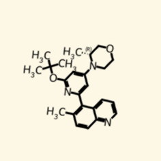 Cc1ccc2ncccc2c1-c1cc(N2CCOC[C@H]2C)cc(OC(C)(C)C)n1